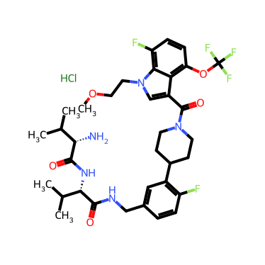 COCCn1cc(C(=O)N2CCC(c3cc(CNC(=O)[C@@H](NC(=O)[C@@H](N)C(C)C)C(C)C)ccc3F)CC2)c2c(OC(F)(F)F)ccc(F)c21.Cl